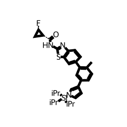 Cc1ccc(-c2ccn([Si](C(C)C)(C(C)C)C(C)C)c2)cc1-c1ccc2nc(NC(=O)[C@@H]3C[C@@H]3F)sc2c1